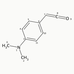 CN(C)c1ccc(C=C=O)cc1